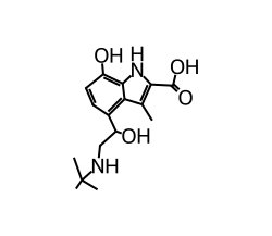 Cc1c(C(=O)O)[nH]c2c(O)ccc(C(O)CNC(C)(C)C)c12